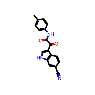 Cc1ccc(NC(=O)C(=O)c2c[nH]c3cc(C#N)ccc23)cc1